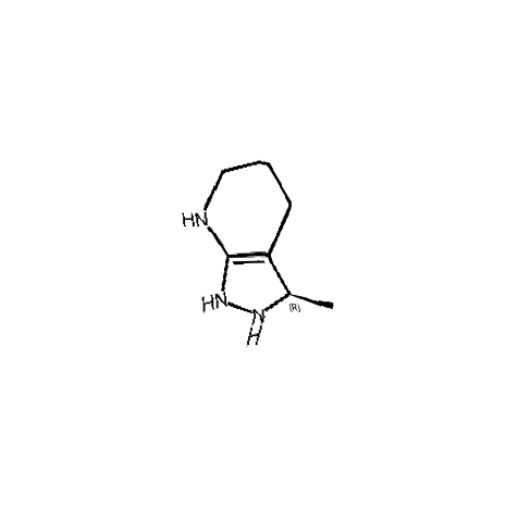 C[C@H]1NNC2=C1CCCN2